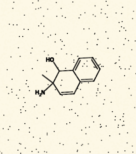 CC1(N)C=Cc2ccccc2C1O